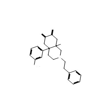 COc1cccc(C23CCN(CCc4ccccc4)CC2(O)CC(=O)C(=O)C3)c1